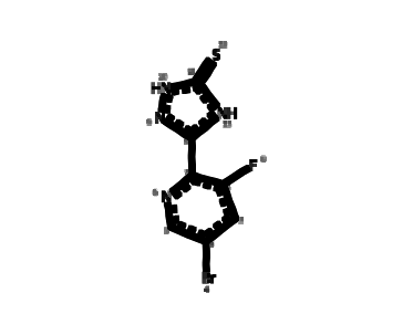 Fc1cc(Br)cnc1-c1n[nH]c(=S)[nH]1